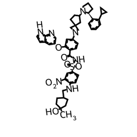 CC1(O)CCC(CNc2ccc(S(=O)(=O)NC(=O)c3ccc(N4CC5(CCC(N6CCC[C@H]6c6ccccc6C6CC6)C5)C4)cc3Oc3cnc4[nH]ccc4c3)cc2[N+](=O)[O-])CC1